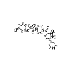 O=C(C1=CC=C(c2ccncc2)[NH+]([O-])C1=O)N1CCN(S(=O)(=O)c2cc3ccc(Cl)cc3s2)CC1